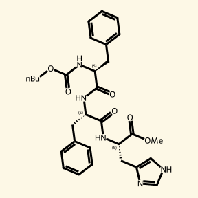 CCCCOC(=O)N[C@@H](Cc1ccccc1)C(=O)N[C@@H](Cc1ccccc1)C(=O)N[C@@H](Cc1c[nH]cn1)C(=O)OC